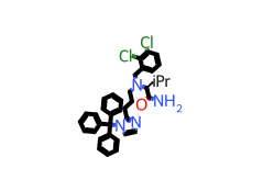 CC(C)[C@@H](C(N)=O)N(CCCc1nccn1C(c1ccccc1)(c1ccccc1)c1ccccc1)Cc1cccc(Cl)c1Cl